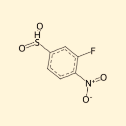 O=[N+]([O-])c1ccc([SH](=O)=O)cc1F